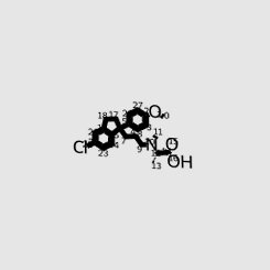 COc1ccc(C2(CCCN(C)[C@@H](C)C(=O)O)CCc3cc(Cl)ccc32)cc1